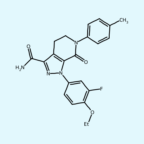 CCOc1ccc(-n2nc(C(N)=O)c3c2C(=O)N(c2ccc(C)cc2)CC3)cc1F